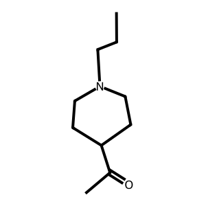 CCCN1CCC(C(C)=O)CC1